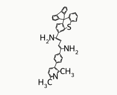 Cc1ccc(-c2ccc(/C(N)=C/C=C(\N)c3ccc4c(c3)Sc3ccccc3C43c4ccccc4-c4ccccc43)cc2)c(C)n1